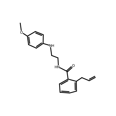 C=CCc1ccccc1C(=O)NCCNc1ccc(OC)cc1